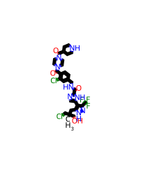 C[C@@](CO)(CCl)Cc1[nH]nc(C(F)(F)F)c1-c1cnc(C(=O)NCc2ccc(C(=O)N3CCN(C(=O)C4CCNCC4)CC3)c(Cl)c2)[nH]1